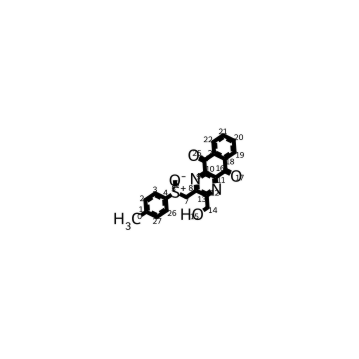 Cc1ccc([S+]([O-])Cc2nc3c(nc2CO)C(=O)c2ccccc2C3=O)cc1